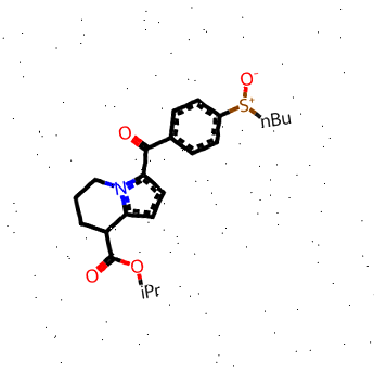 CCCC[S+]([O-])c1ccc(C(=O)c2ccc3n2CCCC3C(=O)OC(C)C)cc1